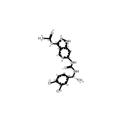 C[C@@H](NC(=O)Nc1cc2[nH]nc(OC(N)=O)c2cn1)c1ccc(Cl)c(Cl)c1